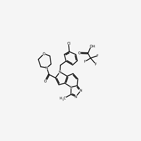 Cc1nnc2ccc3c(cc(C(=O)N4CCOCC4)n3Cc3cccc(Cl)c3)n12.O=C(O)C(F)(F)F